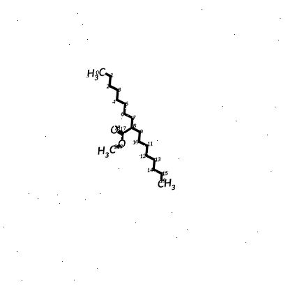 CCCCCCCCC(CCCCCCCC)C(=O)OC